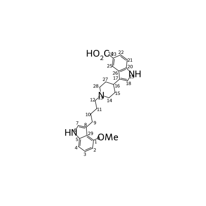 COc1cccc2[nH]cc(CCCCN3CCC(c4c[nH]c5ccc(C(=O)O)cc45)CC3)c12